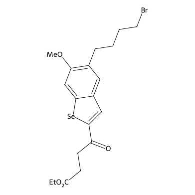 CCOC(=O)CCC(=O)c1cc2cc(CCCCBr)c(OC)cc2[se]1